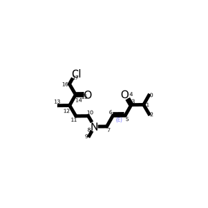 CC(C)C(=O)/C=C/CN(C)CCC(C)C(=O)CCl